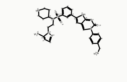 NCc1ccc(-n2cc3cc(-c4cccc(S(=O)(=O)N(CCn5nccc5N)C5CCNCC5)c4)[nH]c3nc2=O)cc1